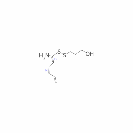 C=C/C=C\C=C(/N)SSCCCO